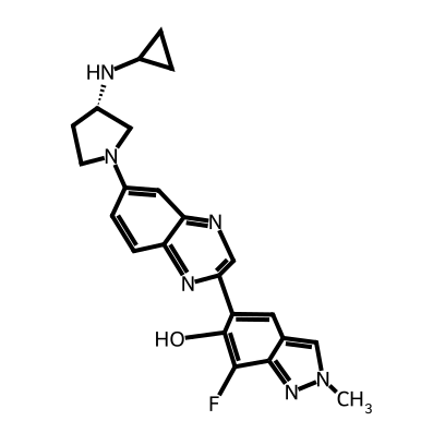 Cn1cc2cc(-c3cnc4cc(N5CC[C@H](NC6CC6)C5)ccc4n3)c(O)c(F)c2n1